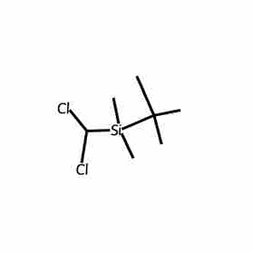 CC(C)(C)[Si](C)(C)C(Cl)Cl